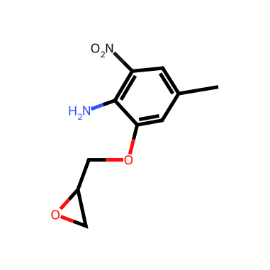 Cc1cc(OCC2CO2)c(N)c([N+](=O)[O-])c1